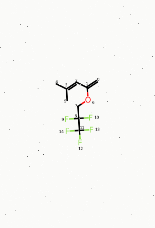 C=C(C=C(C)C)OCC(F)(F)C(F)(F)F